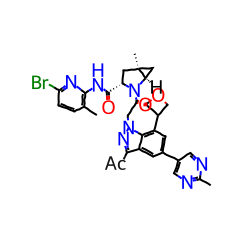 CC(=O)c1nn(CC(=O)N2[C@H](C(=O)Nc3nc(Br)ccc3C)C[C@@]3(C)C[C@@H]23)c2c(C3COC3)cc(-c3cnc(C)nc3)cc12